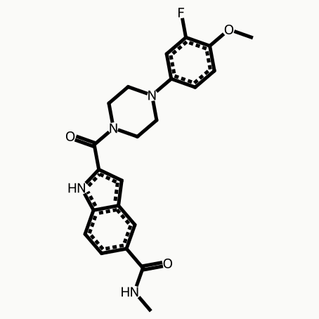 CNC(=O)c1ccc2[nH]c(C(=O)N3CCN(c4ccc(OC)c(F)c4)CC3)cc2c1